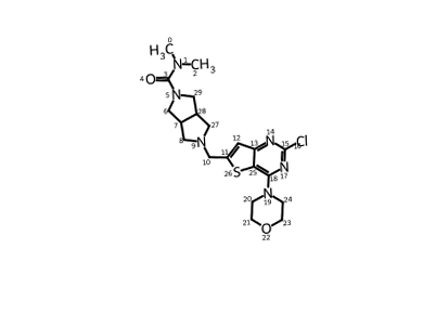 CN(C)C(=O)N1CC2CN(Cc3cc4nc(Cl)nc(N5CCOCC5)c4s3)CC2C1